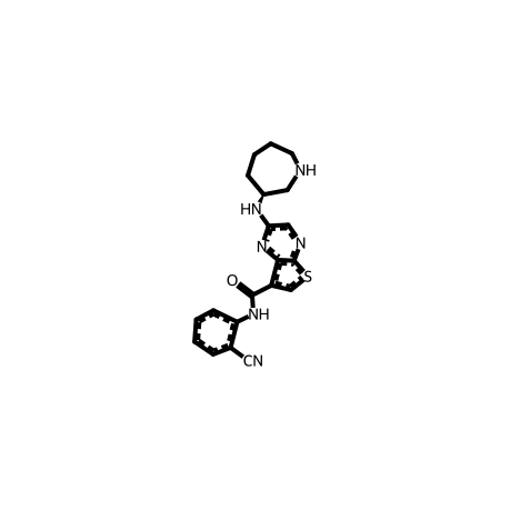 N#Cc1ccccc1NC(=O)c1csc2ncc(N[C@H]3CCCCNC3)nc12